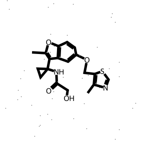 Cc1ncsc1COc1ccc2oc(C)c(C3(NC(=O)CO)CC3)c2c1